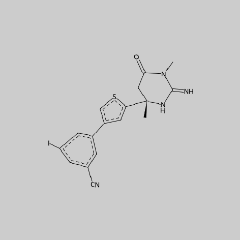 CN1C(=N)N[C@](C)(c2cc(-c3cc(I)cc(C#N)c3)cs2)CC1=O